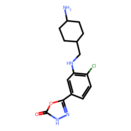 NC1CCC(CNc2cc(-c3n[nH]c(=O)o3)ccc2Cl)CC1